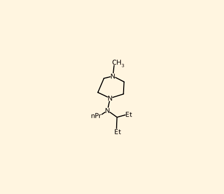 [CH2]CC(CC)N(CCC)N1CCN(C)CC1